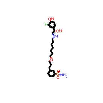 NS(=O)(=O)c1cccc(CCCOCCCCCCCNC[C@H](O)c2ccc(O)c(F)c2)c1